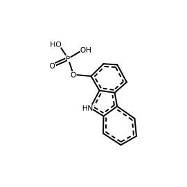 O=P(O)(O)Oc1cccc2c1[nH]c1ccccc12